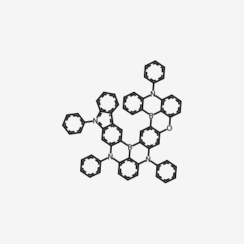 c1ccc(N2c3ccccc3B3c4cc5c(cc4Oc4cccc2c43)N(c2ccccc2)c2cccc3c2B5c2cc4c5ccccc5n(-c5ccccc5)c4cc2N3c2ccccc2)cc1